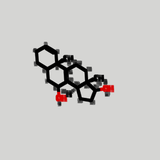 C[C@]12C=CCCC1CC(O)C1=C2CC[C@]2(C)C(O)CC[C@@H]12